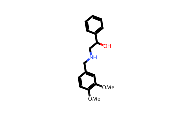 COc1ccc(CNCC(O)c2ccccc2)cc1OC